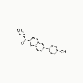 CCOC(=O)c1ccc2cc(-c3ccc(O)cc3)ccc2n1